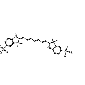 CC1(C)C(C=CC=CC=CC=C2Nc3ccc(S(=O)(=O)O)cc3C2(C)C)=[N+]c2ccc(S(=O)(=O)O)cc21